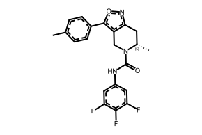 Cc1ccc(-c2onc3c2CN(C(=O)Nc2cc(F)c(F)c(F)c2)[C@@H](C)C3)cc1